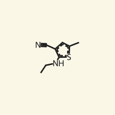 CCNc1sc(C)cc1C#N